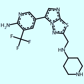 Nc1ncc(-c2cnc3sc(CNC4CCNCC4)nn23)cc1C(F)(F)F